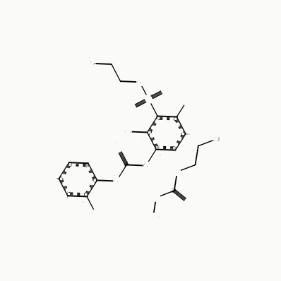 CC(C)(C)OC(=O)NCCN.NCCNS(=O)(=O)c1c(Cl)ccc(NC(=O)Nc2ccccc2Br)c1O